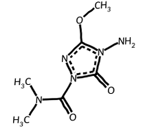 COc1nn(C(=O)N(C)C)c(=O)n1N